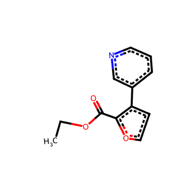 CCOC(=O)c1occc1-c1cccnc1